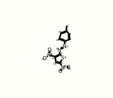 Cc1ccc(N=Nc2sc([N+](=O)[O-])cc2[N+](=O)[O-])cc1